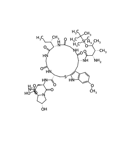 CC[C@H](C)[C@@H]1NC(=O)CNC(=O)[C@H](NC(=O)[C@@H](N)[C@@H](C)C(C)O[Si](C)(C)C(C)(C)C)Cc2c([nH]c3cc(OC)ccc23)SC[C@H](C(=O)N[C@H](CC(N)=O)C(=O)N2C[C@H](O)C[C@H]2C(=O)O)NC(=O)CNC1=O